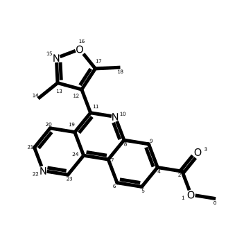 COC(=O)c1ccc2c(c1)nc(-c1c(C)noc1C)c1ccncc12